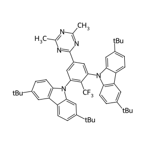 Cc1nc(C)nc(-c2cc(-n3c4ccc(C(C)(C)C)cc4c4ccc(C(C)(C)C)cc43)c(C(F)(F)F)c(-n3c4ccc(C(C)(C)C)cc4c4ccc(C(C)(C)C)cc43)c2)n1